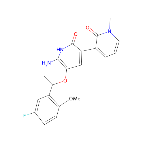 COc1ccc(F)cc1C(C)Oc1cc(-c2cccn(C)c2=O)c(=O)[nH]c1N